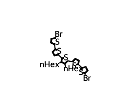 CCCCCCc1c(-c2ccc(-c3ccc(Br)s3)s2)sc(-c2ccc(-c3ccc(Br)s3)s2)c1CCCCCC